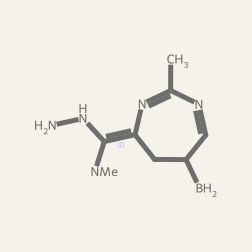 BC1C=NC(C)=N/C(=C(/NC)NN)C1